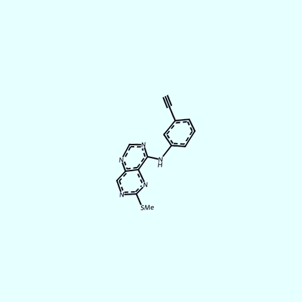 C#Cc1cccc(Nc2ncnc3cnc(SC)nc23)c1